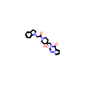 O=C(CN1CCc2ccccc21)N1CCC(O)(Cn2cnn3cccc3c2=O)CC1